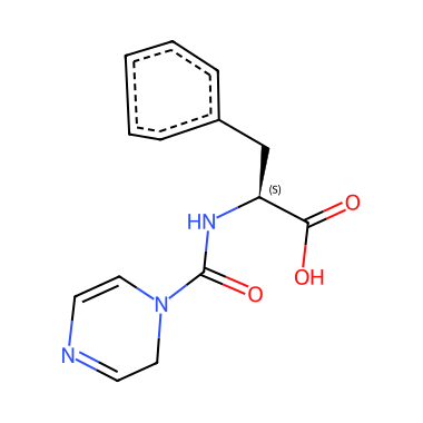 O=C(O)[C@H](Cc1ccccc1)NC(=O)N1C=CN=CC1